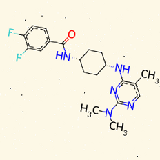 Cc1cnc(N(C)C)nc1N[C@H]1CC[C@@H](NC(=O)c2ccc(F)c(F)c2)CC1